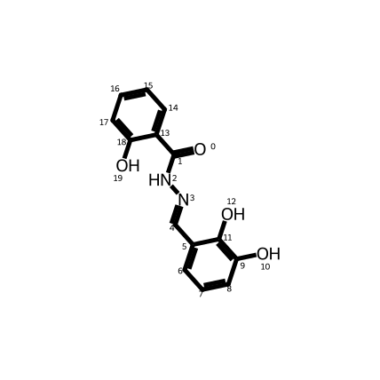 O=C(N/N=C/c1cccc(O)c1O)c1ccccc1O